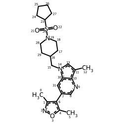 Cc1noc(C)c1-c1cnc2c(C)cn(CC3CCN(S(=O)(=O)C4CCCC4)CC3)c2c1